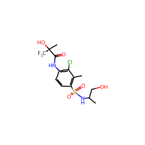 Cc1c(S(=O)(=O)NC(C)CO)ccc(NC(=O)[C@@](C)(O)C(F)(F)F)c1Cl